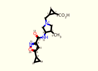 CC1CN(CC2CC2C(=O)O)CC1NC(=O)c1cc(C2CC2)on1